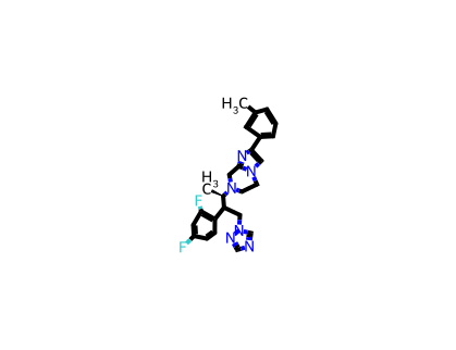 Cc1cccc(-c2cn3c(n2)CN([C@H](C)C(Cn2cncn2)c2ccc(F)cc2F)CC3)c1